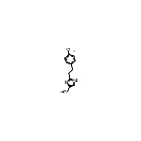 CCCc1c[nH]c(CCc2ccc(C)cc2)n1